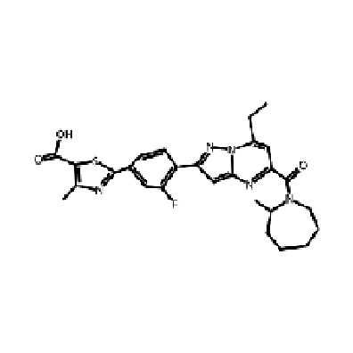 CCc1cc(C(=O)N2CCCCCC2C)nc2cc(-c3ccc(-c4nc(C)c(C(=O)O)s4)cc3F)nn12